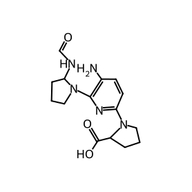 Nc1ccc(N2CCCC2C(=O)O)nc1N1CCCC1NC=O